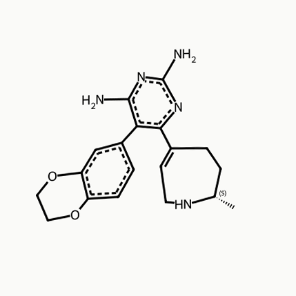 C[C@H]1CCC(c2nc(N)nc(N)c2-c2ccc3c(c2)OCCO3)=CCN1